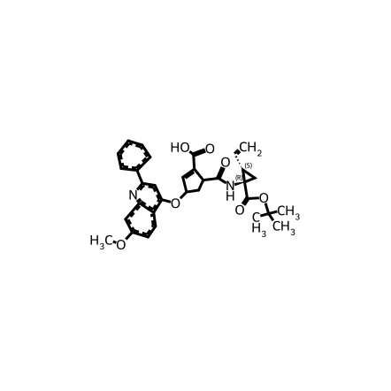 C=C[C@@H]1C[C@]1(NC(=O)C1CC(Oc2cc(-c3ccccc3)nc3cc(OC)ccc23)C=C1C(=O)O)C(=O)OC(C)(C)C